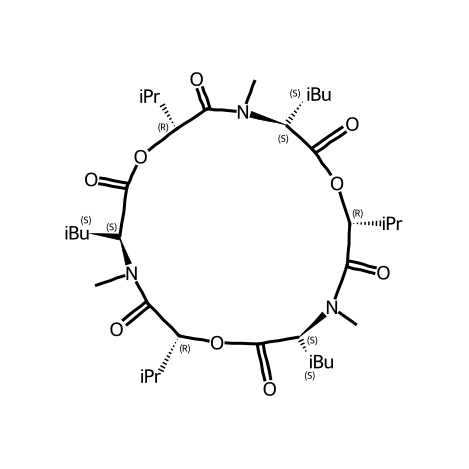 CC[C@H](C)[C@H]1C(=O)O[C@H](C(C)C)C(=O)N(C)[C@@H]([C@@H](C)CC)C(=O)O[C@H](C(C)C)C(=O)N(C)[C@@H]([C@@H](C)CC)C(=O)O[C@H](C(C)C)C(=O)N1C